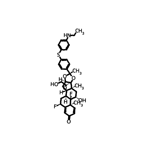 CCNc1ccc(Sc2ccc([C@@]3(C)O[C@@H]4C[C@H]5[C@@H]6C[C@H](F)C7=CC(=O)C=C[C@]7(C)[C@@]6(F)[C@@H](O)C[C@]5(C)[C@]4(C(=O)CO)O3)cc2)cc1